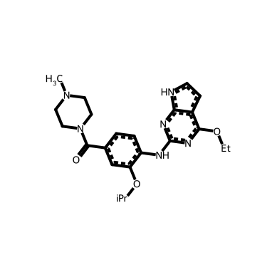 CCOc1nc(Nc2ccc(C(=O)N3CCN(C)CC3)cc2OC(C)C)nc2[nH]ccc12